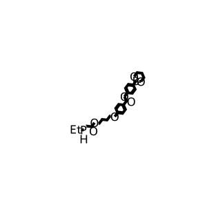 CCPCC(=O)OCCCCOc1ccc(C(=O)Oc2ccc(B3OCCCO3)cc2)cc1